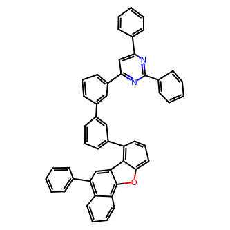 c1ccc(-c2cc(-c3cccc(-c4cccc(-c5cccc6oc7c8ccccc8c(-c8ccccc8)cc7c56)c4)c3)nc(-c3ccccc3)n2)cc1